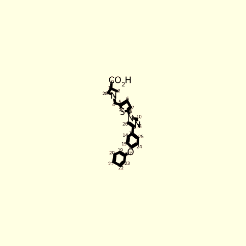 O=C(O)C1CN(Cc2ccc(-n3cnc(-c4ccc(Oc5ccccc5)cc4)c3)s2)C1